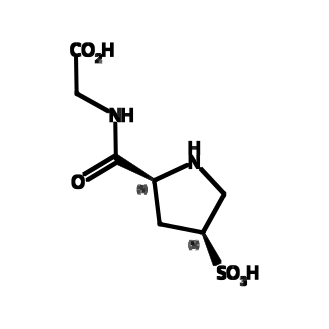 O=C(O)CNC(=O)[C@@H]1C[C@H](S(=O)(=O)O)CN1